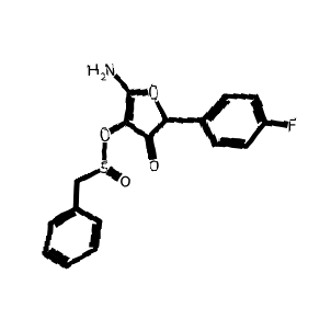 NC1=C(OS(=O)Cc2ccccc2)C(=O)C(c2ccc(F)cc2)O1